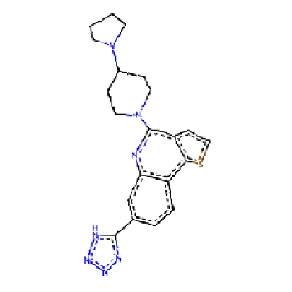 c1cc2c(N3CCC(N4CCCC4)CC3)nc3cc(-c4nnn[nH]4)ccc3c2s1